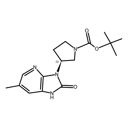 Cc1cnc2c(c1)[nH]c(=O)n2[C@H]1CCN(C(=O)OC(C)(C)C)C1